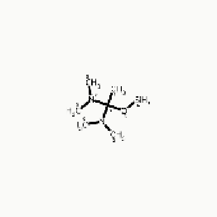 CN(C)C(C)(O[SiH3])N(C)C